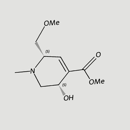 COC[C@@H]1C=C(C(=O)OC)[C@H](O)CN1C